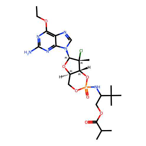 CCOc1nc(N)nc2c1ncn2[C@@H]1O[C@@H]2COP(=O)(NC(COC(=O)C(C)C)C(C)(C)C)O[C@H]2[C@@]1(C)Cl